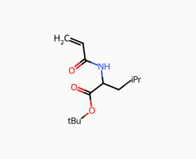 C=CC(=O)NC(CC(C)C)C(=O)OC(C)(C)C